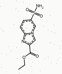 CCOC(=O)c1cn2cc(S(N)(=O)=O)ccc2n1